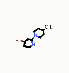 CC1CCN(c2cc(Br)ccn2)CC1